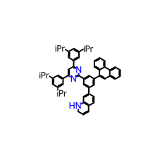 CC(C)c1cc(-c2cc(-c3cc(C(C)C)cc(C(C)C)c3)nc(-c3cc(-c4ccc5c(c4)NCC=C5)cc(-c4cc5ccccc5c5ccccc45)c3)n2)cc(C(C)C)c1